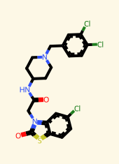 O=C(Cn1c(=O)sc2ccc(Cl)cc21)NC1CCN(Cc2ccc(Cl)c(Cl)c2)CC1